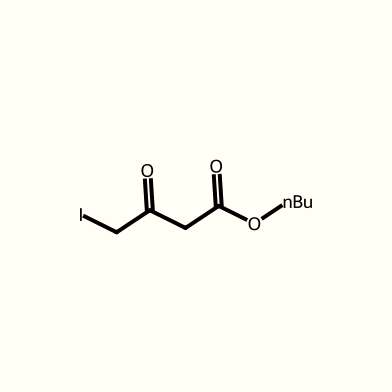 CCCCOC(=O)CC(=O)CI